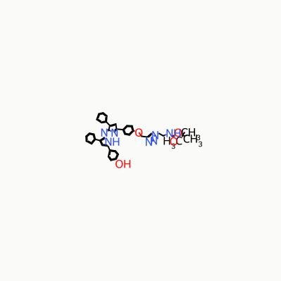 CC(C)(C)OC(=O)NCCn1cc(COc2ccc(C3=NC(=Nc4[nH]c(-c5ccc(O)cc5)cc4-c4ccccc4)C(c4ccccc4)=C3)cc2)nn1